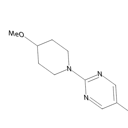 COC1CCN(c2ncc(F)cn2)CC1